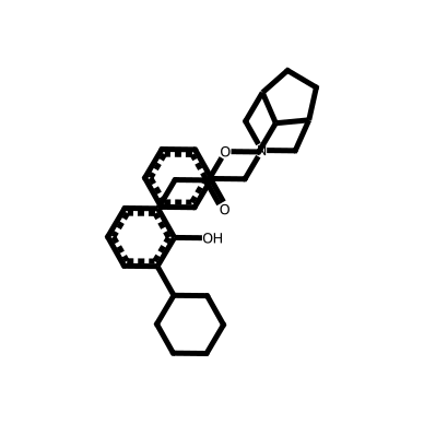 O=C(Cc1cccc(C2CCCCC2)c1O)OCC1C2CCC1CN(Cc1ccccc1)C2